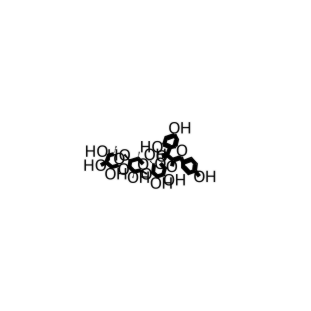 C[C@@H]1O[C@@H](O[C@@H]2[C@H](O)[C@@H](O)[C@H](Oc3c(-c4ccc(O)cc4)oc4cc(O)cc(O)c4c3=O)O[C@H]2CO)[C@H](O)[C@H](O[C@@H]2O[C@@H](C)[C@H](O)C(O)[C@H]2O)[C@H]1O